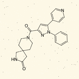 O=C1CC2(CCN(C(=O)c3cc(-c4ccncc4)n(-c4ccccc4)n3)CC2)CN1